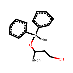 CCCCCCCCCC(CCO)O[Si](c1ccccc1)(c1ccccc1)C(C)(C)C